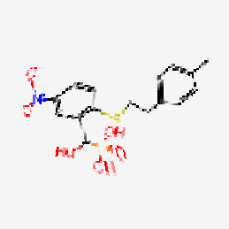 Cc1ccc(CCSc2ccc([N+](=O)[O-])cc2C(O)P(=O)(O)O)cc1